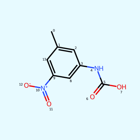 Cc1cc(NC(=O)O)cc([N+](=O)[O-])c1